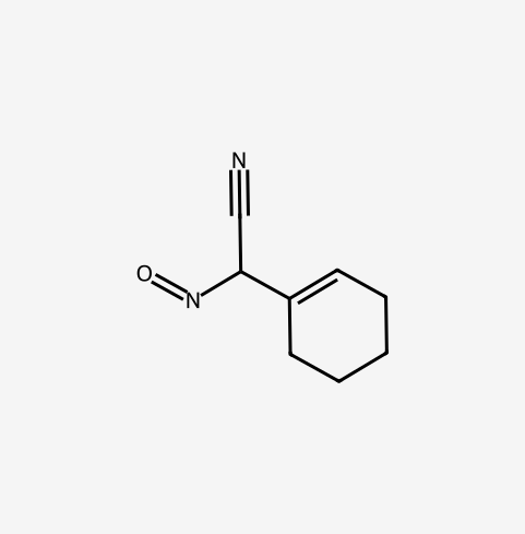 N#CC(N=O)C1=CCCCC1